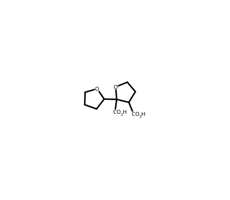 O=C(O)C1CCOC1(C(=O)O)C1CCCO1